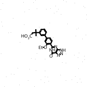 CCOc1cc(-c2cccc(C(C)(C)CC(=O)O)c2)ccc1-c1nc2[nH]nnc2c(=O)[nH]1